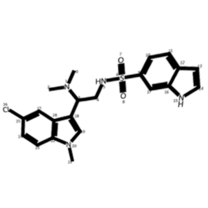 CN(C)C(CNS(=O)(=O)c1ccc2cc[nH]c2c1)c1cn(C)c2ccc(Cl)cc12